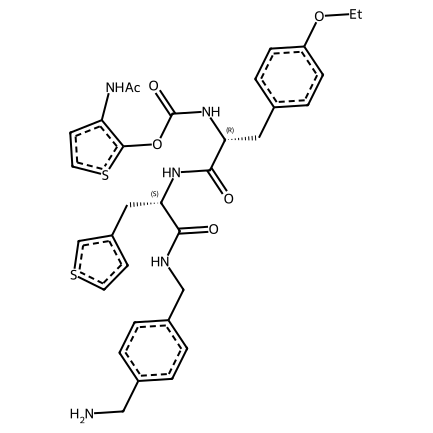 CCOc1ccc(C[C@@H](NC(=O)Oc2sccc2NC(C)=O)C(=O)N[C@@H](Cc2ccsc2)C(=O)NCc2ccc(CN)cc2)cc1